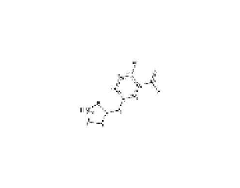 C=C(C)c1cc(CC2CCNC2)ccc1C